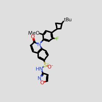 COc1cc(C2CC(C(C)(C)C)C2)c(F)cc1-n1c(=O)ccc2cc([S+]([O-])Nc3ccon3)ccc21